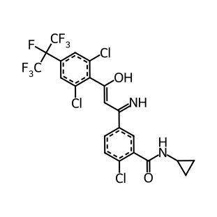 N=C(/C=C(\O)c1c(Cl)cc(C(F)(C(F)(F)F)C(F)(F)F)cc1Cl)c1ccc(Cl)c(C(=O)NC2CC2)c1